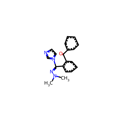 CN(C)/N=C(\c1ccccc1C(=O)c1ccccc1)n1ccnc1